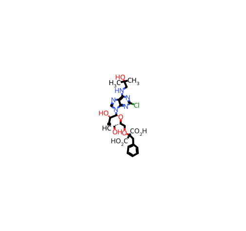 C#C[C@@H](O)[C@@H](O[C@@H](CO)COC(Cc1ccccc1)(C(=O)O)C(=O)O)n1cnc2c(NCC(C)(C)O)nc(Cl)nc21